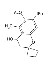 CC(=O)Oc1c(C(C)(C)C)cc2c(c1C)C(O)CC1(CCC1)O2